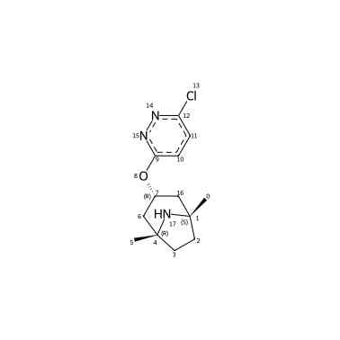 C[C@]12CC[C@](C)(C[C@H](Oc3ccc(Cl)nn3)C1)N2